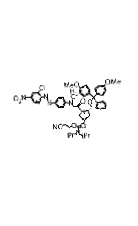 COc1ccc(C(OC[C@@H]2C[C@@H](OP(OCCC#N)N(C(C)C)C(C)C)CN2C(=O)CN(C)c2ccc(N=Nc3ccc([N+](=O)[O-])cc3Cl)cc2)(c2ccccc2)c2ccc(OC)cc2)cc1